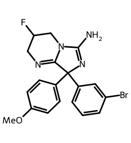 COc1ccc(C2(c3cccc(Br)c3)N=C(N)N3CC(F)CN=C32)cc1